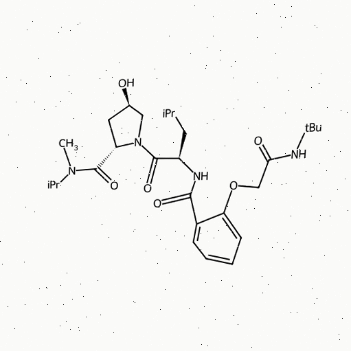 CC(C)C[C@@H](NC(=O)c1ccccc1OCC(=O)NC(C)(C)C)C(=O)N1C[C@H](O)C[C@H]1C(=O)N(C)C(C)C